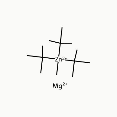 C[C](C)(C)[Zn-2]([CH3])([C](C)(C)C)[C](C)(C)C.[Mg+2]